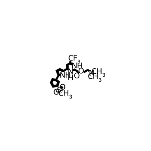 CN(C)CCOC(=O)CN/C(=C\C(=N)C(F)(F)F)c1ccc(-c2cccc(S(C)(=O)=O)c2)[nH]1